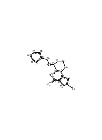 O=c1oc2c(c3cc(I)sc13)CCCC2OCc1ccccc1